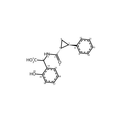 O=C(O)C(NC(=O)[C@@H]1C[C@H]1c1ccccc1)c1ccccc1O